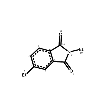 CCc1ccc2c(c1)C(=O)N(CC)C2=O